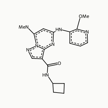 CNc1cc(Nc2cccnc2OC)nc2c(C(=O)NC3CCC3)cnn12